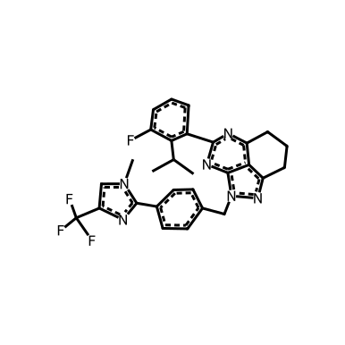 CC(C)c1c(F)cccc1-c1nc2c3c(nn(Cc4ccc(-c5nc(C(F)(F)F)cn5C)cc4)c3n1)CCC2